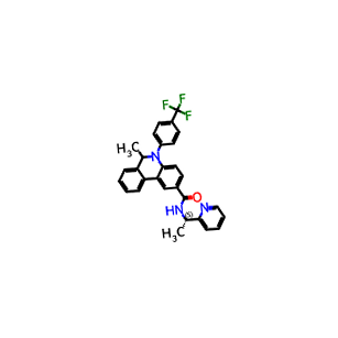 CC1c2ccccc2-c2cc(C(=O)N[C@@H](C)c3ccccn3)ccc2N1c1ccc(C(F)(F)F)cc1